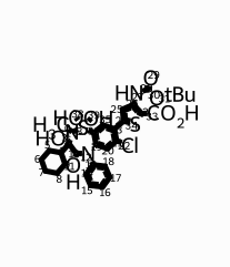 CN1C(O)(C2CCCCC2)C(O)N(c2ccccc2)c2cc(Cl)c(-c3cc(NC(=O)OC(C)(C)C)c(C(=O)O)s3)cc2S1(O)O